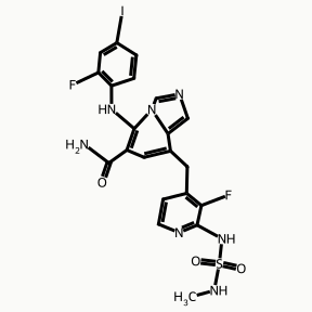 CNS(=O)(=O)Nc1nccc(Cc2cc(C(N)=O)c(Nc3ccc(I)cc3F)n3cncc23)c1F